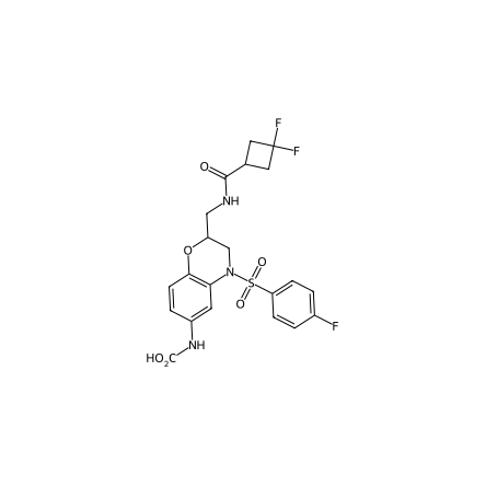 O=C(O)Nc1ccc2c(c1)N(S(=O)(=O)c1ccc(F)cc1)CC(CNC(=O)C1CC(F)(F)C1)O2